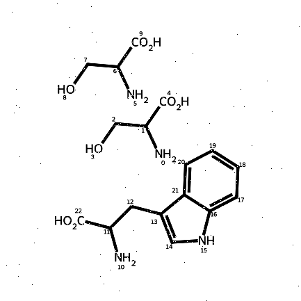 NC(CO)C(=O)O.NC(CO)C(=O)O.NC(Cc1c[nH]c2ccccc12)C(=O)O